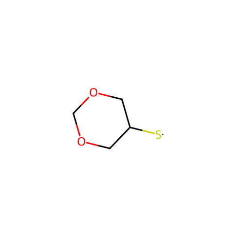 [S]C1COCOC1